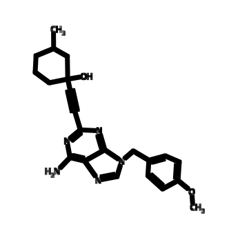 COc1ccc(Cn2cnc3c(N)nc(C#CC4(O)CCCC(C)C4)nc32)cc1